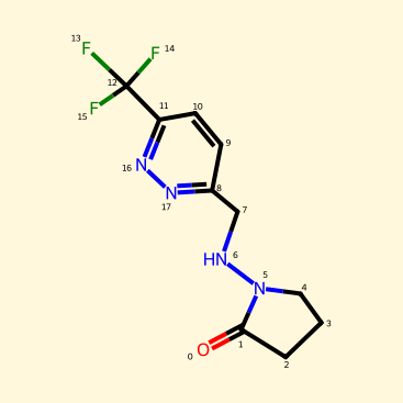 O=C1CCCN1NCc1ccc(C(F)(F)F)nn1